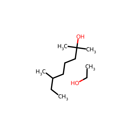 CCC(C)CCCC(C)(C)O.CCO